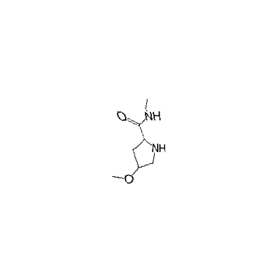 CNC(=O)C1CC(OC)CN1